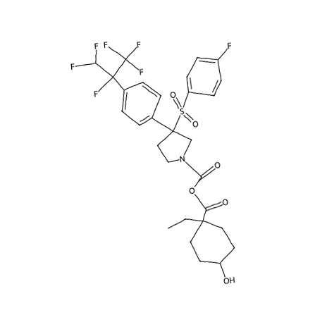 CCC1(C(=O)OC(=O)N2CCC(c3ccc(C(F)(C(F)F)C(F)(F)F)cc3)(S(=O)(=O)c3ccc(F)cc3)C2)CCC(O)CC1